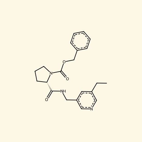 CCc1cncc(CNC(=O)[C@@H]2CCCN2C(=O)OCc2ccccc2)c1